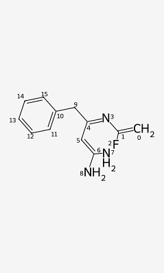 C=C(F)/N=C(\C=C(N)N)Cc1ccccc1